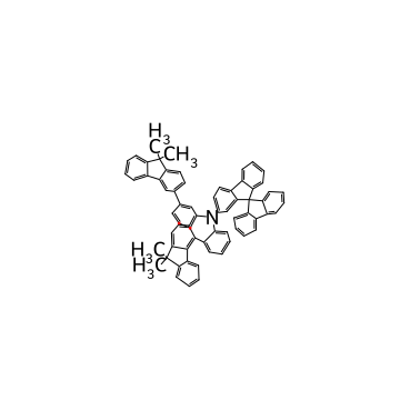 CC1(C)c2ccccc2-c2cc(-c3cccc(N(c4ccc5c(c4)C4(c6ccccc6-c6ccccc64)c4ccccc4-5)c4ccccc4-c4cccc5c4-c4ccccc4C5(C)C)c3)ccc21